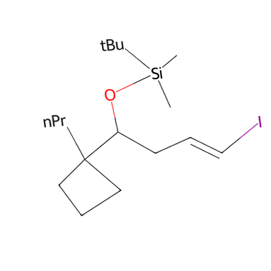 CCCC1(C(CC=CI)O[Si](C)(C)C(C)(C)C)CCC1